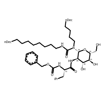 CCCCCCCCCCCCCCCCCCNC(=O)N(CCCCCCCCCCCCCC)[C@@H]1O[C@H](CO)[C@@H](O)[C@H](O)[C@H]1NC(=O)[C@H](CC(C)C)NC(=O)OCc1ccccc1